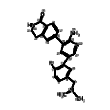 CN(C)Cc1ccc(F)c(-c2cnc(N)c(-c3ccc4c(c3)CCNC4=O)c2)c1